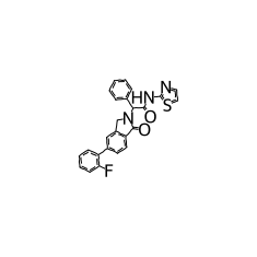 O=C(Nc1nccs1)C(c1ccccc1)N1Cc2cc(-c3ccccc3F)ccc2C1=O